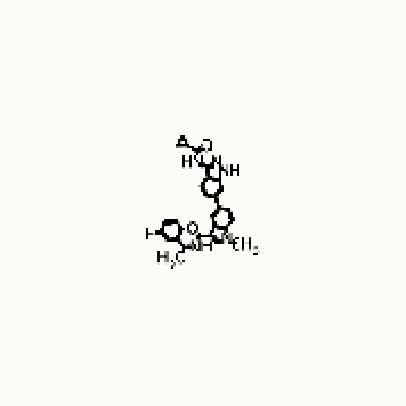 C[C@H](NC(=O)c1cn(C)c2ccc(-c3ccc4c(NC(=O)C5CC5)n[nH]c4c3)cc12)c1cccc(F)c1